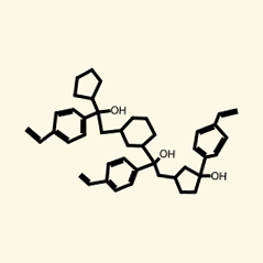 C=Cc1ccc(C2(O)CCC(CC(O)(c3ccc(C=C)cc3)C3CCCC(CC(O)(c4ccc(C=C)cc4)C4CCCC4)C3)C2)cc1